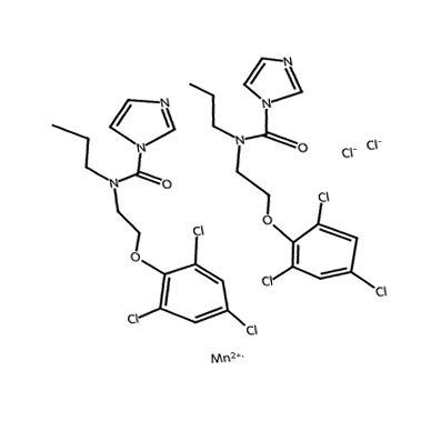 CCCN(CCOc1c(Cl)cc(Cl)cc1Cl)C(=O)n1ccnc1.CCCN(CCOc1c(Cl)cc(Cl)cc1Cl)C(=O)n1ccnc1.[Cl-].[Cl-].[Mn+2]